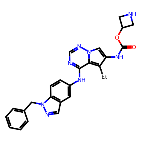 CCc1c(NC(=O)OC2CNC2)cn2ncnc(Nc3ccc4c(cnn4Cc4ccccc4)c3)c12